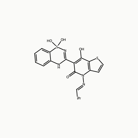 CC(C)C=Nn1c(=O)c(C2=NS(O)(O)c3ccccc3N2)c(O)c2sccc21